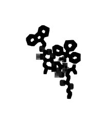 C=CCOC(=O)C[C@H](O)[C@H](NC(=O)[C@@H](CSC(c1ccccc1)(c1ccccc1)c1ccccc1)NC(=O)[C@@H](CC(C)C)NC(=O)OCC1c2ccccc2-c2ccccc21)C(C)C